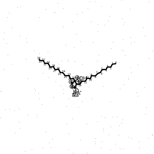 CCCCCCCCCCCCCCCC(C(=O)[O-])C(CCCCCCCCCCCCCCC)(C(=O)[O-])S(=O)(=O)O.[Na+].[Na+]